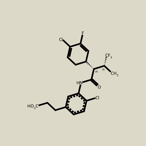 C[C@H]([C@H](C(=O)Nc1cc(CCC(=O)O)ccc1Cl)C1C=C(F)C(Cl)=CC1)C(F)(F)F